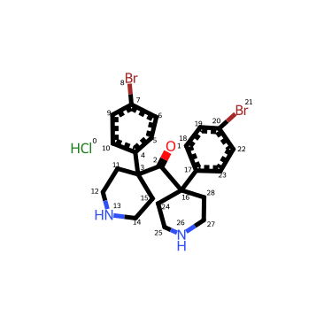 Cl.O=C(C1(c2ccc(Br)cc2)CCNCC1)C1(c2ccc(Br)cc2)CCNCC1